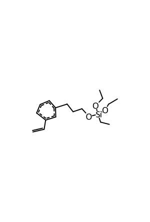 C=Cc1cccc(CCCO[Si](CC)(OCC)OCC)c1